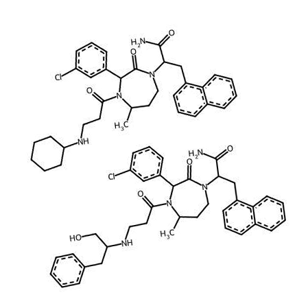 CC1CCN(C(Cc2cccc3ccccc23)C(N)=O)C(=O)C(c2cccc(Cl)c2)N1C(=O)CCNC(CO)Cc1ccccc1.CC1CCN(C(Cc2cccc3ccccc23)C(N)=O)C(=O)C(c2cccc(Cl)c2)N1C(=O)CCNC1CCCCC1